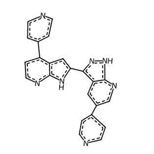 c1cc(-c2cnc3[nH]nc(-c4cc5c(-c6ccncc6)ccnc5[nH]4)c3c2)ccn1